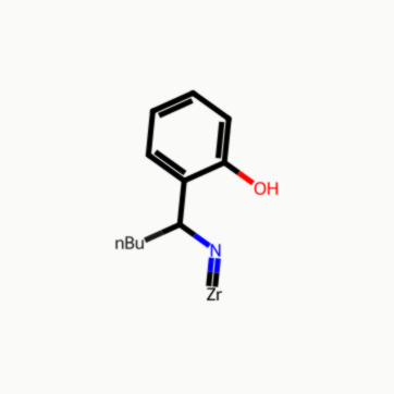 CCCCC([N]=[Zr])c1ccccc1O